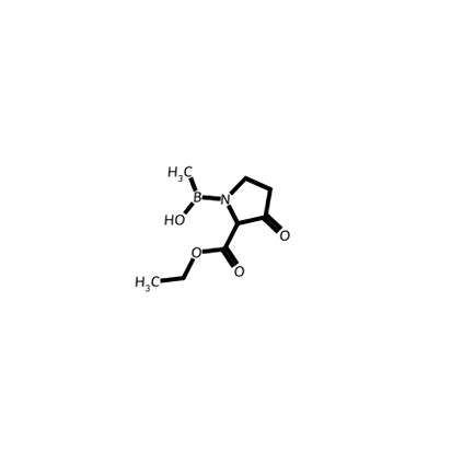 CCOC(=O)C1C(=O)CCN1B(C)O